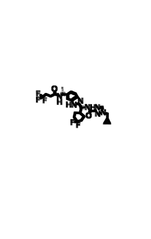 C[C@@H](NC(=O)CCC(F)(F)F)c1ccc2nc([C@@H](NC(=O)c3ncn(CC4CC4)n3)C3CCC(F)(F)CC3)[nH]c2c1